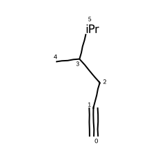 C#CCC(C)C([CH2])C